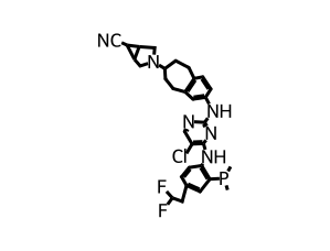 CP(C)c1cc(CC(F)F)ccc1Nc1nc(Nc2ccc3c(c2)CCC(N2CC4C(C#N)C4C2)CC3)ncc1Cl